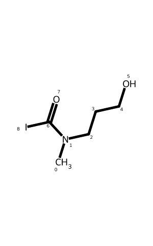 CN(CCCO)C(=O)I